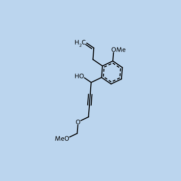 C=CCc1c(OC)cccc1C(O)C#CCOCOC